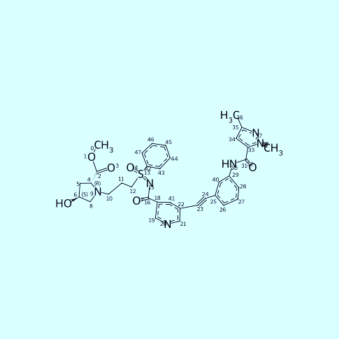 COC(=O)[C@H]1C[C@H](O)CN1CCCS(=O)(=NC(=O)c1cncc(C#Cc2cccc(NC(=O)c3cc(C)nn3C)c2)c1)c1ccccc1